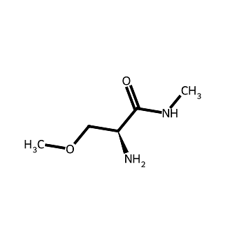 CNC(=O)[C@@H](N)COC